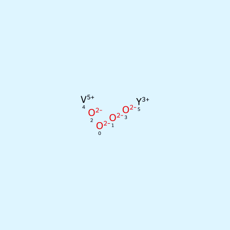 [O-2].[O-2].[O-2].[O-2].[V+5].[Y+3]